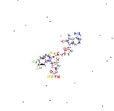 Nc1ncnc2c1[nH]c(=O)n2[C@H]1CC[C@@H](COP(=O)(S)O[C@H]2C[C@@H](OP(=O)(O)S)O[C@H]2n2cnc3cc(Cl)c(Cl)cc32)O1